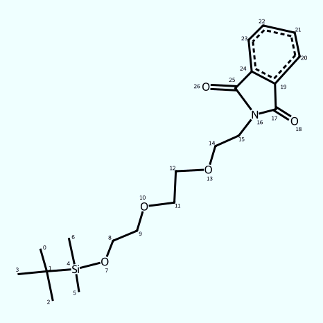 CC(C)(C)[Si](C)(C)OCCOCCOCCN1C(=O)c2ccccc2C1=O